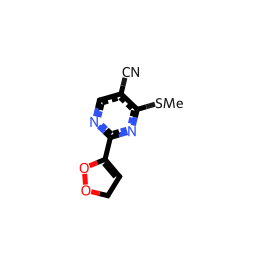 CSc1nc(C2=CCOO2)ncc1C#N